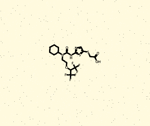 O=C(O)CSc1cnc(NC(=O)N(CCOC(C(F)(F)F)C(F)(F)F)C2CCCCC2)s1